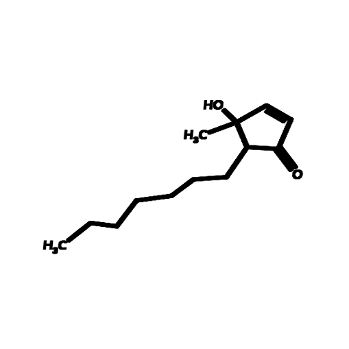 CCCCCCCC1C(=O)C=CC1(C)O